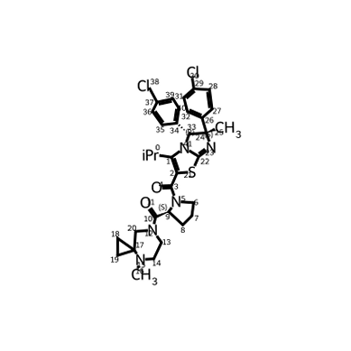 CC(C)C1=C(C(=O)N2CCC[C@H]2C(=O)N2CCN(C)C3(CC3)C2)SC2=N[C@@](C)(c3ccc(Cl)cc3)[C@@H](c3ccc(Cl)cc3)N21